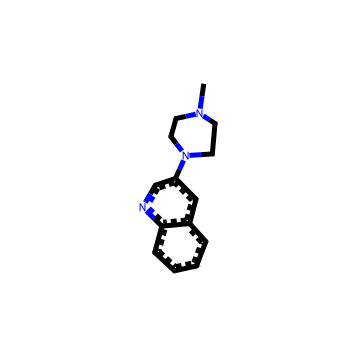 CN1CCN(c2cnc3cc[c]cc3c2)CC1